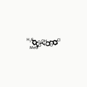 COC(=O)c1ccc(C)cc1OC[C@H](O)CN1CCC2(CC1)Cc1cc(Cl)ccc1O2